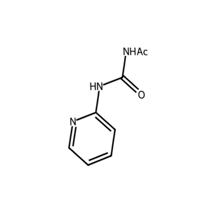 [CH2]C(=O)NC(=O)Nc1ccccn1